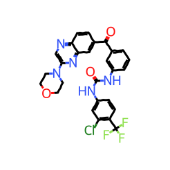 O=C(Nc1cccc(C(=O)c2ccc3ncc(N4CCOCC4)nc3c2)c1)Nc1ccc(C(F)(F)F)c(Cl)c1